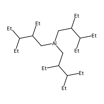 CCC(CC)C(CC)[CH2][Al]([CH2]C(CC)C(CC)CC)[CH2]C(CC)C(CC)CC